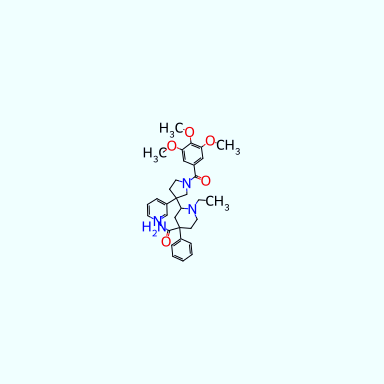 CCN1CCC(C(N)=O)(c2ccccc2)CC1C1(c2cccnc2)CCN(C(=O)c2cc(OC)c(OC)c(OC)c2)C1